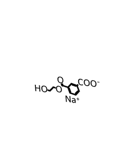 O=C([O-])c1cccc(C(=O)OCCO)c1.[Na+]